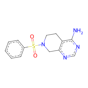 Nc1ncnc2c1CCN(S(=O)(=O)c1ccccc1)C2